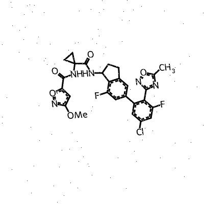 COc1cc(C(=O)NC2(C(=O)NC3CCc4cc(-c5cc(Cl)cc(F)c5-c5noc(C)n5)cc(F)c43)CC2)on1